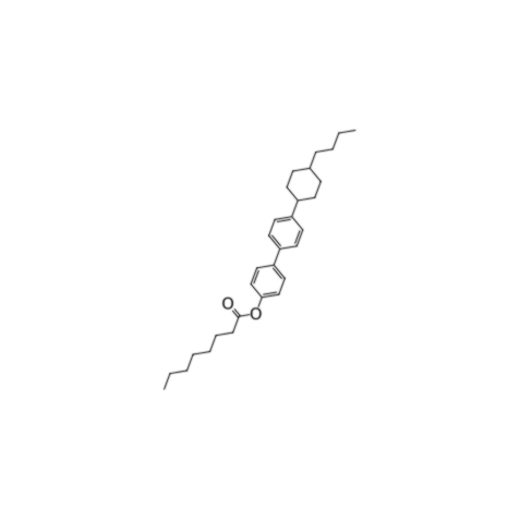 CCCCCCCC(=O)Oc1ccc(-c2ccc(C3CCC(CCCC)CC3)cc2)cc1